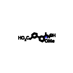 COc1ccc(-c2cccc(CC(=O)O)c2)cc1/C(C)=N/O